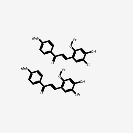 CCCc1cc(C=CC(=O)c2ccc(NC)cc2)c(OC(C)C)cc1O.CCc1cc(C=CC(=O)c2ccc(NC)cc2)c(OC(C)C)cc1O